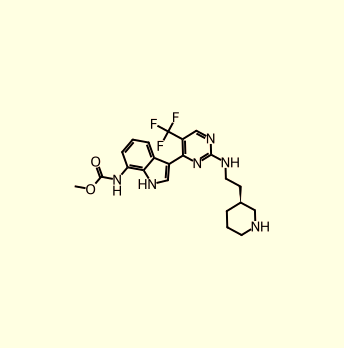 COC(=O)Nc1cccc2c(-c3nc(NCC[C@@H]4CCCNC4)ncc3C(F)(F)F)c[nH]c12